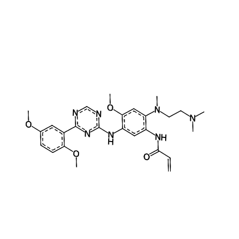 C=CC(=O)Nc1cc(Nc2ncnc(-c3cc(OC)ccc3OC)n2)c(OC)cc1N(C)CCN(C)C